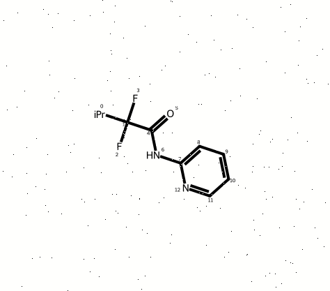 CC(C)C(F)(F)C(=O)Nc1ccccn1